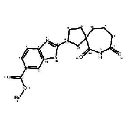 CC(C)(C)OC(=O)c1ccc2nc(N3CCC4(CCCC(=O)NC4=O)C3)sc2c1